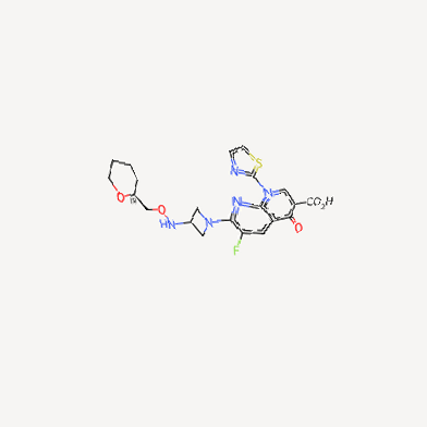 O=C(O)c1cn(-c2nccs2)c2nc(N3CC(NOC[C@@H]4CCCCO4)C3)c(F)cc2c1=O